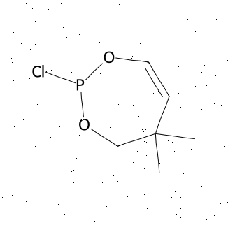 CC1(C)C=COP(Cl)OC1